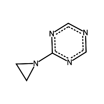 c1ncnc(N2CC2)n1